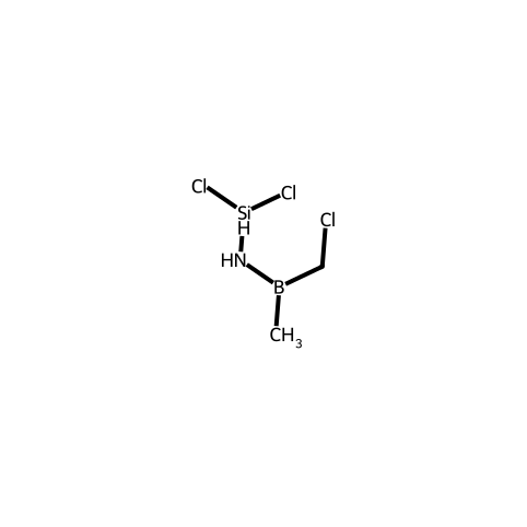 CB(CCl)N[SiH](Cl)Cl